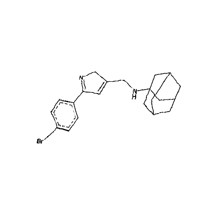 Brc1ccc(C2=NCC(CNC34CC5CC(CC(C5)C3)C4)=C2)cc1